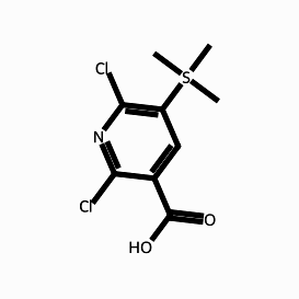 CS(C)(C)c1cc(C(=O)O)c(Cl)nc1Cl